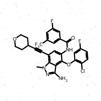 Cn1nc(N)c2c(Oc3cc(F)ccc3Cl)c(NC(=O)c3cc(F)cc(C(F)(F)F)c3)cc(C#CC3CCOCC3)c21